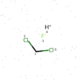 ClCCl.[F-].[H+]